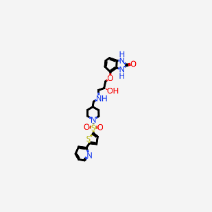 O=c1[nH]c2cccc(OC[C@H](O)CNCC3CCN(S(=O)(=O)c4ccc(-c5ccccn5)s4)CC3)c2[nH]1